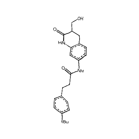 CC(C)(C)c1ccc(CCC(=O)Nc2ccc3c(c2)NC(=O)C(CO)C3)cc1